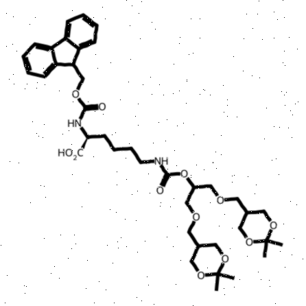 CC1(C)OCC(COCC(COCC2COC(C)(C)OC2)OC(=O)NCCCC[C@H](NC(=O)OCC2c3ccccc3-c3ccccc32)C(=O)O)CO1